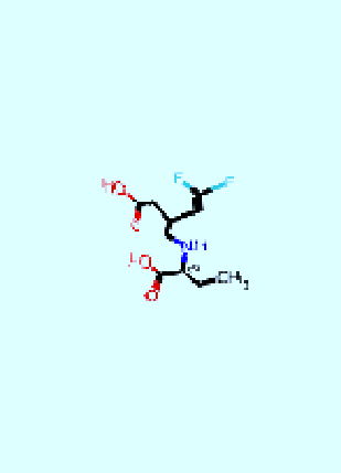 CC[C@H](NCC(C=C(F)F)CC(=O)O)C(=O)O